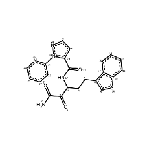 NC(=O)C(=O)C(CCc1csc2ccccc12)NC(=O)c1ccnn1-c1ccccn1